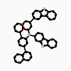 c1ccc(-c2ccc(-c3cccc4ccccc34)cc2N(c2cccc(-c3ccc4sc5ccccc5c4c3)c2)c2ccc3c(c2)oc2ccccc23)cc1